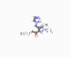 CCOC(=O)CC(=O)c1nn(C)c(C)c1Cn1ccnn1